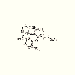 COCCOC(=O)C1=C(C)Nc2ccnc(OC(C)C)c2C1c1cccc([N+](=O)[O-])c1